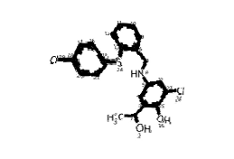 CC(O)c1cc(NCc2ccccc2Sc2ccc(Cl)cc2)cc(Cl)c1O